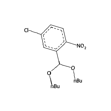 CCCCOC(OCCCC)c1cc(Cl)ccc1[N+](=O)[O-]